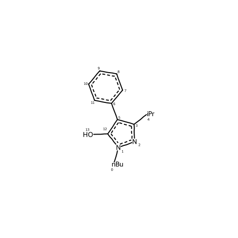 CCCCn1nc(C(C)C)c(-c2ccccc2)c1O